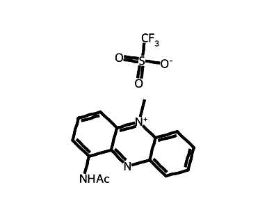 CC(=O)Nc1cccc2c1nc1ccccc1[n+]2C.O=S(=O)([O-])C(F)(F)F